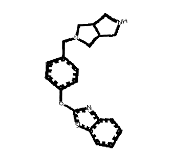 c1ccc2sc(Oc3ccc(CN4CC5CNCC5C4)cc3)nc2c1